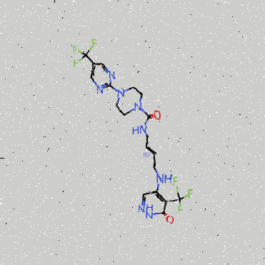 O=C(NC/C=C/CNc1cn[nH]c(=O)c1C(F)(F)F)N1CCN(c2ncc(C(F)(F)F)cn2)CC1